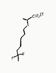 CCOC(=O)C(C)SCCCCCC(C)(F)F